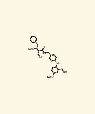 CN/C(Cc1ccccc1)=C(\C=N)C(=O)NCc1ccc(Nc2ccc(OC)cc2C=N)cc1